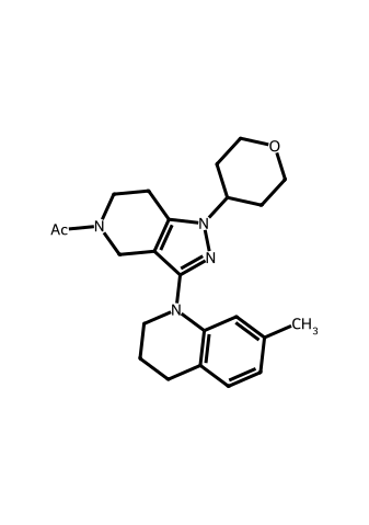 CC(=O)N1CCc2c(c(N3CCCc4ccc(C)cc43)nn2C2CCOCC2)C1